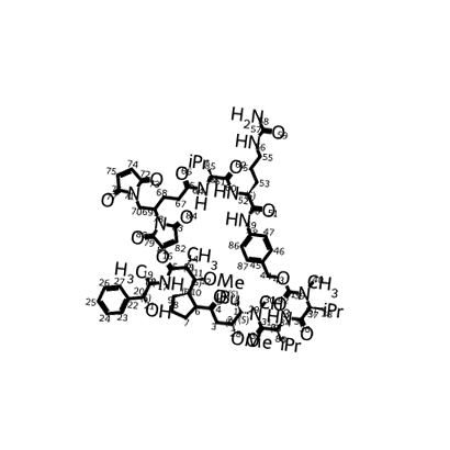 CC[C@H](C)[C@@H]([C@@H](CC(=O)C1CCC[C@H]1[C@H](OC)[C@@H](C)C(=O)N[C@H](C)[C@@H](O)c1ccccc1)OC)N(C)C(=O)[C@@H](NC(=O)[C@H](C(C)C)N(C)C(=O)OCc1ccc(NC(=O)[C@H](CCCNC(N)=O)NC(=O)[C@@H](NC(=O)CCC(CN2C(=O)C=CC2=O)N2C(=O)C=CC2=O)C(C)C)cc1)C(C)C